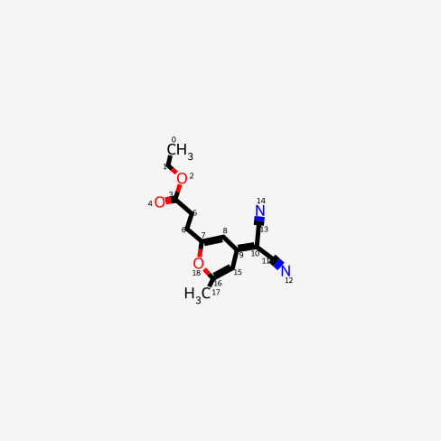 CCOC(=O)CCC1=CC(=C(C#N)C#N)C=C(C)O1